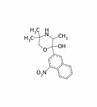 CC1NC(C)(C)COC1(O)c1cc([N+](=O)[O-])c2ccccc2c1